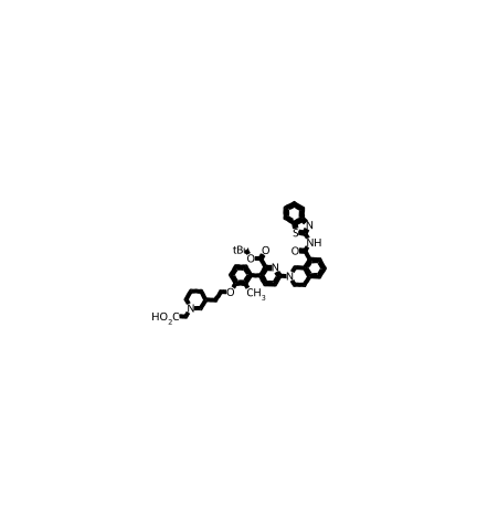 Cc1c(OCCC2CCCN(CC(=O)O)C2)cccc1-c1ccc(N2CCc3cccc(C(=O)Nc4nc5ccccc5s4)c3C2)nc1C(=O)OC(C)(C)C